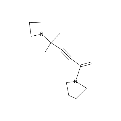 C=C(C#CC(C)(C)N1CCC1)N1CCCC1